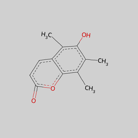 Cc1c(O)c(C)c2ccc(=O)oc2c1C